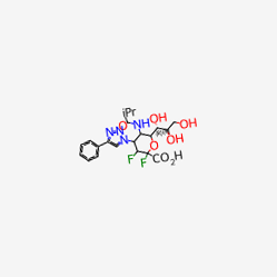 CC(C)C(=O)NC1C([C@H](O)[C@H](O)CO)OC(F)(C(=O)O)C(F)C1n1cc(-c2ccccc2)nn1